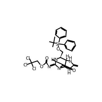 C=C1N[C@H]2[C@H](CO[Si](c3ccccc3)(c3ccccc3)C(C)(C)C)N/C(=N\C(=O)OCC(Cl)(Cl)Cl)N3C=CC(=O)C23N1